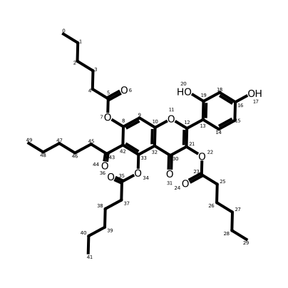 CCCCCC(=O)Oc1cc2oc(-c3ccc(O)cc3O)c(OC(=O)CCCCC)c(=O)c2c(OC(=O)CCCCC)c1C(=O)CCCCC